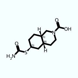 NC(=O)S[C@H]1CC[C@@H]2CN(C(=O)O)CC[C@@H]2C1